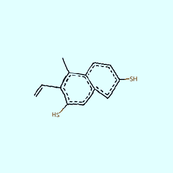 C=Cc1c(S)cc2cc(S)ccc2c1C